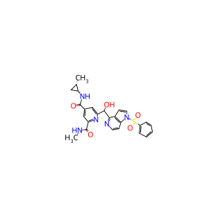 CNC(=O)c1cc(C(=O)N[C@H]2C[C@@H]2C)cc(C(O)c2nccc3c2ccn3S(=O)(=O)c2ccccc2)n1